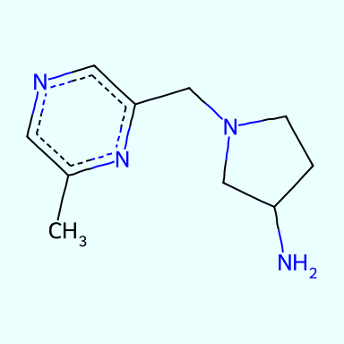 Cc1cncc(CN2CCC(N)C2)n1